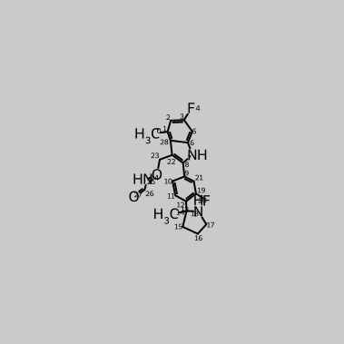 Cc1cc(F)cc2[nH]c(-c3ccc(C4(C)CCCN4)c(F)c3)c(CONC=O)c12